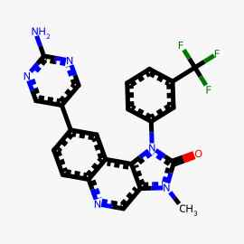 Cn1c(=O)n(-c2cccc(C(F)(F)F)c2)c2c3cc(-c4cnc(N)nc4)ccc3ncc21